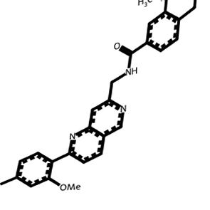 COc1cc(Cl)ccc1-c1ccc2cnc(CNC(=O)c3ccc4c(c3)[C@](C)(C#N)COC4)cc2n1